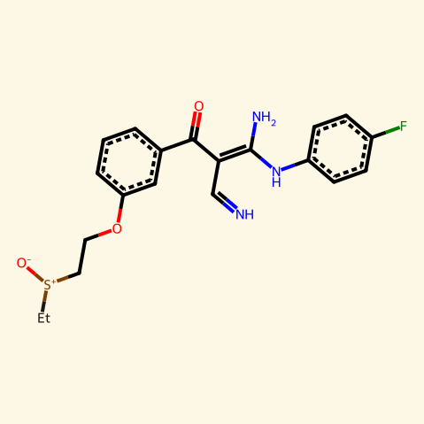 CC[S+]([O-])CCOc1cccc(C(=O)/C(C=N)=C(\N)Nc2ccc(F)cc2)c1